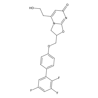 O=c1cc(CCO)n2c(n1)OC(COc1ccc(-c3cc(F)cc(F)c3F)cc1)C2